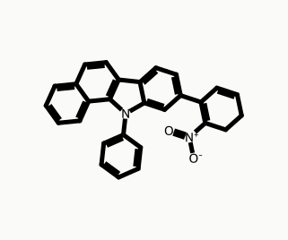 O=[N+]([O-])C1=C(c2ccc3c4ccc5ccccc5c4n(-c4ccccc4)c3c2)C=CCC1